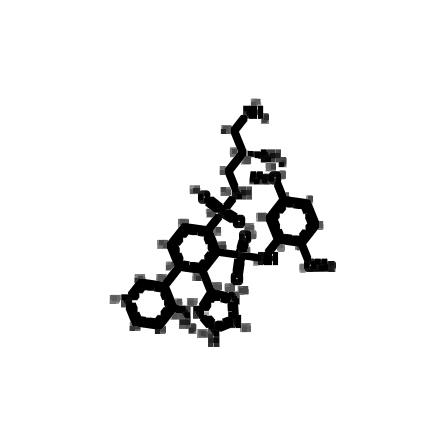 COc1ccc(OC)c(NS(=O)(=O)c2c(S(=O)(=O)NC[C@@H](N)CN)ccc(-c3cnccc3N)c2-c2nn[nH]n2)c1